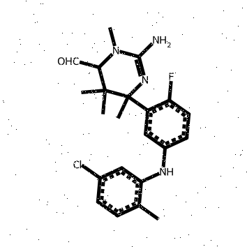 Cc1ccc(Cl)cc1Nc1ccc(F)c(C2(C)N=C(N)N(C)C(C=O)C2(C)C)c1